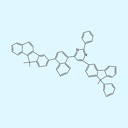 CC1(C)c2ccc(-c3ccc(-c4cc(-c5ccc6c(c5)-c5ccccc5C6(C)c5ccccc5)nc(-c5ccccc5)n4)c4ccccc34)cc2-c2ccc3ccccc3c21